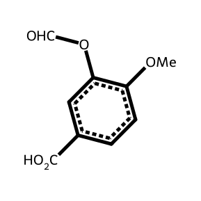 COc1ccc(C(=O)O)cc1OC=O